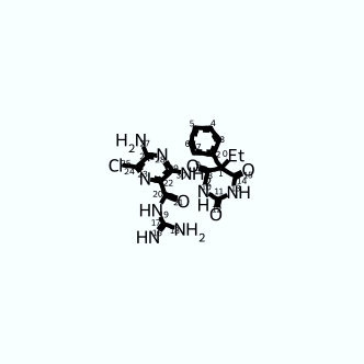 CCC1(c2ccccc2)C(=O)NC(=O)NC1=O.N=C(N)NC(=O)c1nc(Cl)c(N)nc1N